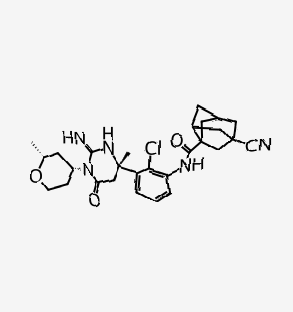 C[C@@H]1C[C@H](N2C(=N)N[C@](C)(c3cccc(NC(=O)C45CC6CC4CC(C#N)(C6)C5)c3Cl)CC2=O)CCO1